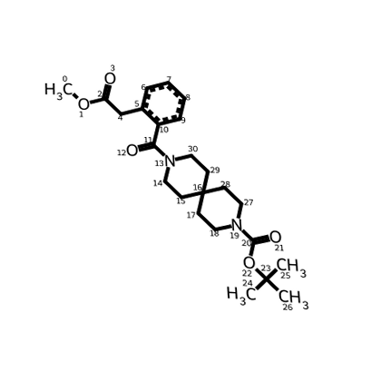 COC(=O)Cc1ccccc1C(=O)N1CCC2(CCN(C(=O)OC(C)(C)C)CC2)CC1